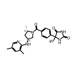 Cc1cnc(N[C@H]2C[C@H](C)N(C(=O)c3ccc(C4(C(C)C)NC(=O)NC4=O)cc3)C2)c(C)c1